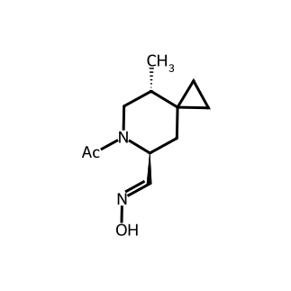 CC(=O)N1C[C@H](C)C2(CC2)C[C@H]1/C=N/O